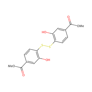 COC(=O)c1ccc(SSc2ccc(C(=O)OC)cc2O)c(O)c1